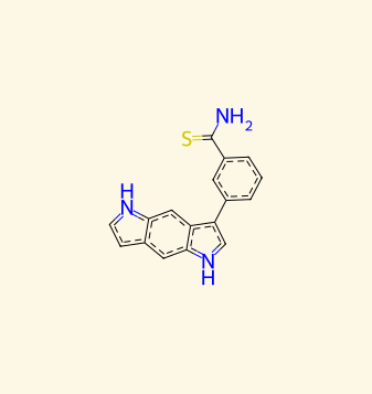 NC(=S)c1cccc(-c2c[nH]c3cc4cc[nH]c4cc23)c1